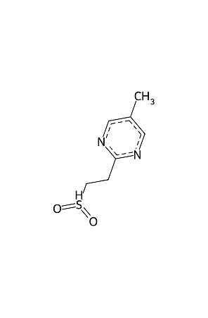 Cc1cnc(CC[SH](=O)=O)nc1